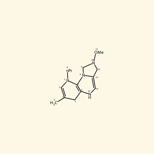 CCCN1C=C(C)CC2=C1N1CN(OC)CC1=CN2